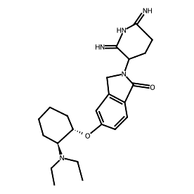 CCN(CC)[C@H]1CCCC[C@@H]1Oc1ccc2c(c1)CN(C1CCC(=N)NC1=N)C2=O